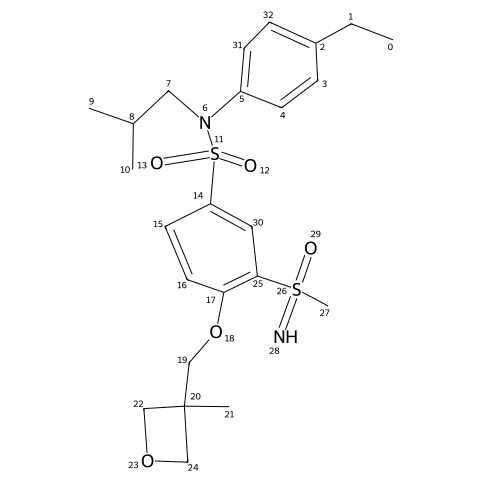 CCc1ccc(N(CC(C)C)S(=O)(=O)c2ccc(OCC3(C)COC3)c(S(C)(=N)=O)c2)cc1